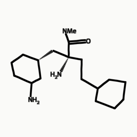 CNC(=O)[C@@](N)(CCC1CCCCC1)C[C@H]1CCCC(N)C1